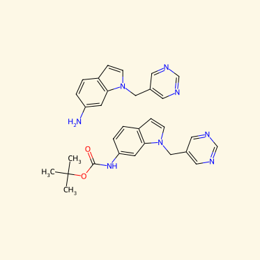 CC(C)(C)OC(=O)Nc1ccc2ccn(Cc3cncnc3)c2c1.Nc1ccc2ccn(Cc3cncnc3)c2c1